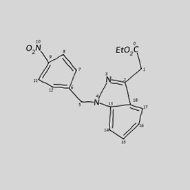 CCOC(=O)Cc1nn(Cc2ccc([N+](=O)[O-])cc2)c2ccccc12